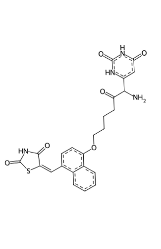 NC(C(=O)CCCCOc1ccc(C=C2SC(=O)NC2=O)c2ccccc12)c1cc(=O)[nH]c(=O)[nH]1